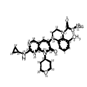 Cc1cccc2c1N(C(=O)OC(C)(C)C)CCN2c1cc2cnc(NC3CC3)nc2n(C2CCOCC2)c1=O